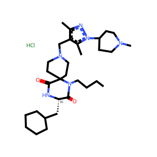 CCCCN1C(=O)[C@H](CC2CCCCC2)NC(=O)C12CCN(Cc1c(C)nn(C3CCN(C)CC3)c1C)CC2.Cl